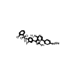 CNC1CC=C(c2cnc(N)c3c(-c4ccc(NS(=O)(=O)c5ccccc5Cl)c(F)c4)nc(C(C)C)n23)CC1